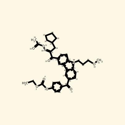 CCOC(=O)Oc1ccc(C(=O)c2ccc3c(c2)c2cc(C(=O)/C(CC4CCCC4)=N/OC(C)=O)ccc2n3CCCOC)cc1